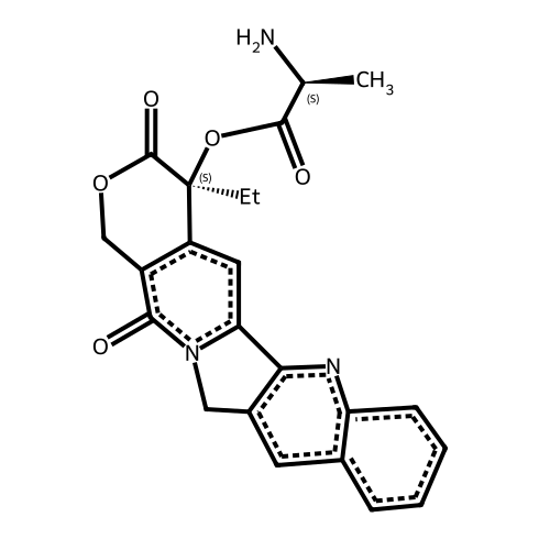 CC[C@@]1(OC(=O)[C@H](C)N)C(=O)OCc2c1cc1n(c2=O)Cc2cc3ccccc3nc2-1